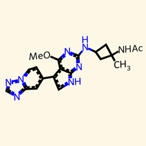 COc1nc(NC2CC(C)(NC(C)=O)C2)nc2[nH]cc(-c3ccn4ncnc4c3)c12